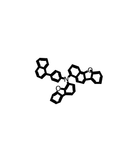 c1ccc2c(-c3ccc(N(c4cccc5c4ccc4c6ccccc6oc54)c4cccc5c4oc4ccccc45)cc3)cccc2c1